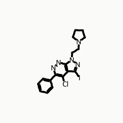 Clc1c(-c2ccccc2)nnc2c1c(I)nn2CCN1CCCC1